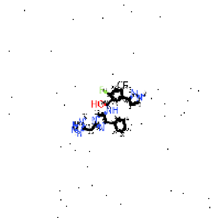 Cn1ccc(-c2cc(C(O)Nc3cnc(Cc4nnnn4C)nc3-c3ccccc3)c(F)cc2C(F)(F)F)n1